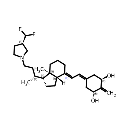 C=C1[C@H](O)CC(=C/C=C2\CCC[C@]3(C)[C@@H]([C@H](C)CCN4CC[C@@H](C(F)F)C4)CC[C@@H]23)C[C@H]1O